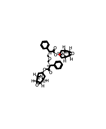 CN1[C@@H]2C[C@@H](OC(=O)[C@H](COC[C@@H](C(=O)O[C@@H]3C[C@@H]4[C@H]5O[C@H]5[C@H](C3)N4C)c3ccccc3)c3ccccc3)C[C@H]1[C@@H]1O[C@@H]12